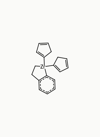 C1=CC[C]([Zr]2([C]3=CC=CC3)[CH2]Cc3cccc[c]32)=C1